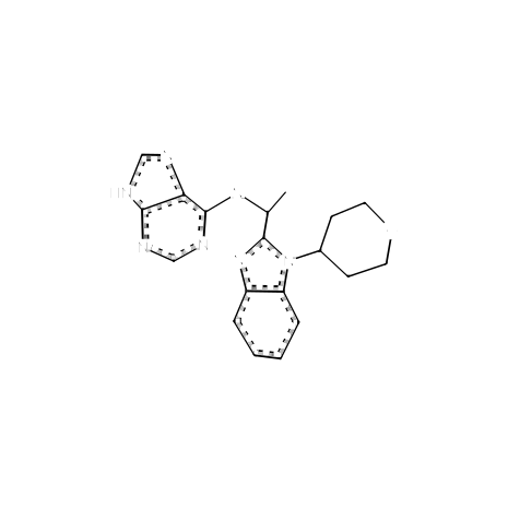 CC(Nc1ncnc2[nH]cnc12)c1nc2ccccc2n1C1CCOCC1